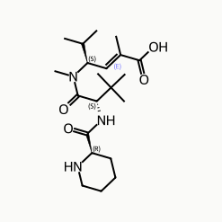 C/C(=C\[C@H](C(C)C)N(C)C(=O)[C@@H](NC(=O)[C@H]1CCCCN1)C(C)(C)C)C(=O)O